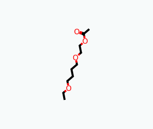 CCOCCCCOCCOC(C)=O